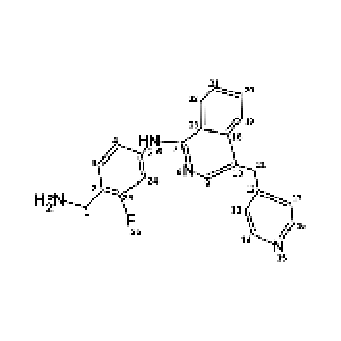 NCc1ccc(Nc2ncc(Cc3ccncc3)c3ccccc23)cc1F